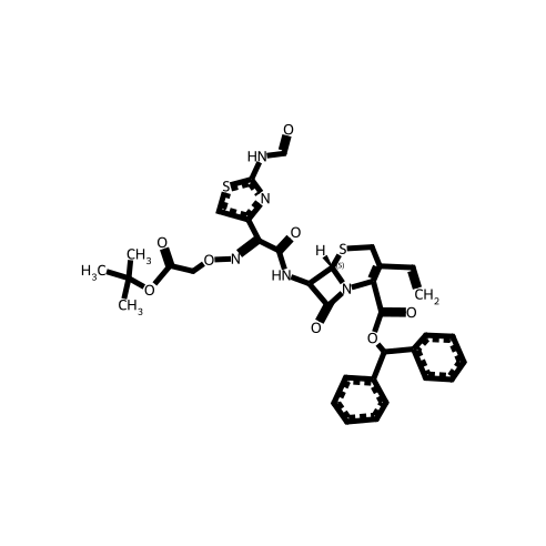 C=CC1=C(C(=O)OC(c2ccccc2)c2ccccc2)N2C(=O)C(NC(=O)C(=NOCC(=O)OC(C)(C)C)c3csc(NC=O)n3)[C@@H]2SC1